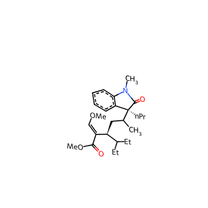 CCC[C@@]1(C(C)C[C@H](/C(=C\OC)C(=O)OC)C(CC)CC)C(=O)N(C)c2ccccc21